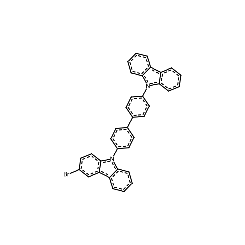 Brc1ccc2c(c1)c1ccccc1n2-c1ccc(-c2ccc(-n3c4ccccc4c4ccccc43)cc2)cc1